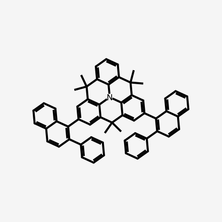 CC1(C)c2cccc3c2N2c4c1cc(-c1c(-c5ccccc5)ccc5ccccc15)cc4C(C)(C)c1cc(-c4c(-c5ccccc5)ccc5ccccc45)cc(c12)C3(C)C